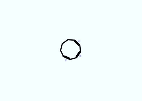 [C]1=C/C=C\C=C/CCC\1